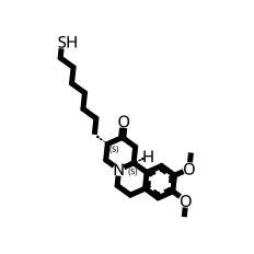 COc1cc2c(cc1OC)[C@@H]1CC(=O)[C@@H](CCCCCCCS)CN1CC2